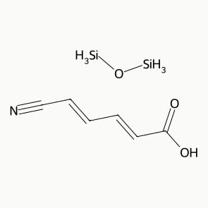 N#CC=CC=CC(=O)O.[SiH3]O[SiH3]